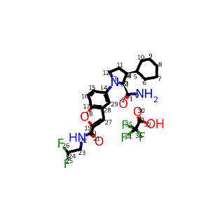 NC(=O)[C@@H]1[C@H](C2CCCCC2)CCN1c1ccc2oc(C(=O)NCC(F)F)cc2c1.O=C(O)C(F)(F)F